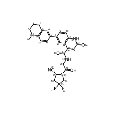 CN1CCCc2cc(-c3ccc4[nH]c(=O)cc(C(=O)NCC(=O)N5CC(F)(F)C[C@H]5C#N)c4c3)ccc21